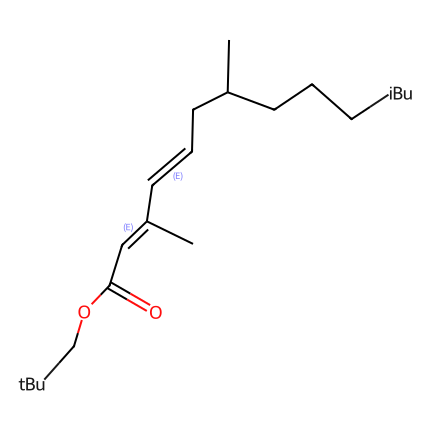 CCC(C)CCCC(C)C/C=C/C(C)=C/C(=O)OCC(C)(C)C